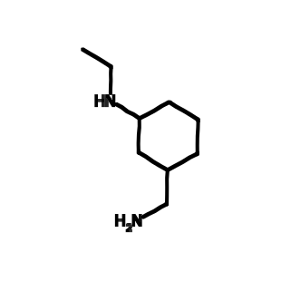 CCNC1CCCC(CN)C1